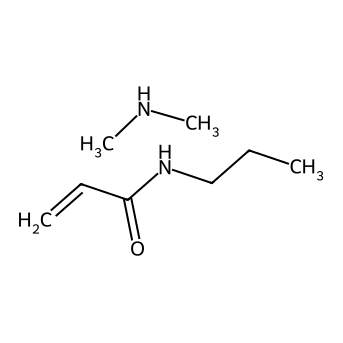 C=CC(=O)NCCC.CNC